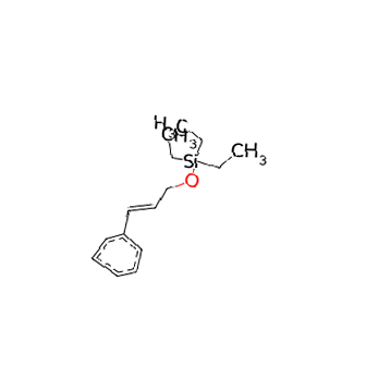 CC[Si](CC)(CC)OCC=Cc1ccccc1